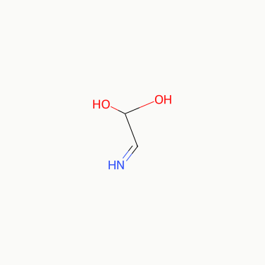 N=CC(O)O